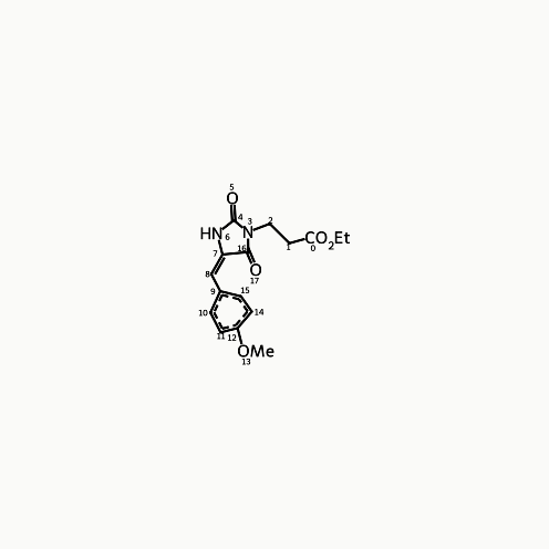 CCOC(=O)CCN1C(=O)NC(=Cc2ccc(OC)cc2)C1=O